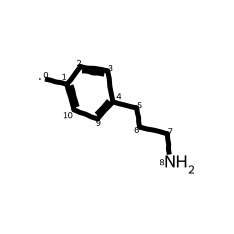 [CH2]c1ccc(CCCN)cc1